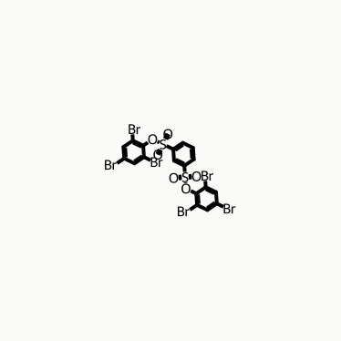 O=S(=O)(Oc1c(Br)cc(Br)cc1Br)c1cccc(S(=O)(=O)Oc2c(Br)cc(Br)cc2Br)c1